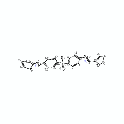 O=S(=O)(c1ccc(/N=C/c2ccco2)cc1)c1ccc(/N=C/c2ccco2)cc1